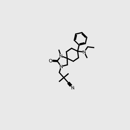 CCN(C)C1(c2ccccc2)CCC2(CC1)CN(CC(C)(C)C#N)C(=O)N2C